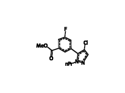 CCCn1ncc(Cl)c1-c1cc(F)cc(C(=O)OC)c1